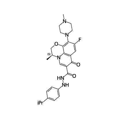 CC(C)c1ccc(NNC(=O)c2cn3c4c(c(N5CCN(C)CC5)c(F)cc4c2=O)OC[C@@H]3C)cc1